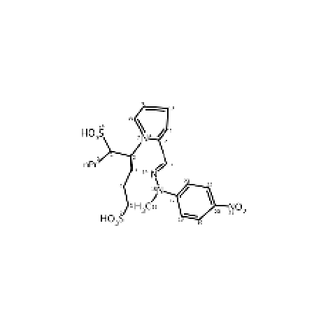 CCCC(C(CCCS(=O)(=O)O)[n+]1ccccc1C=NN(C)c1ccc([N+](=O)[O-])cc1)S(=O)(=O)O